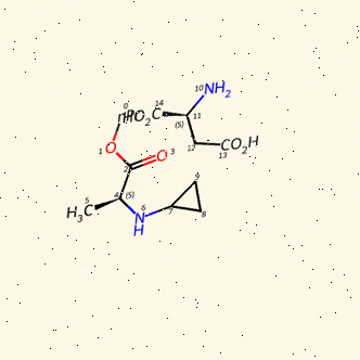 CCCOC(=O)[C@H](C)NC1CC1.N[C@@H](CC(=O)O)C(=O)O